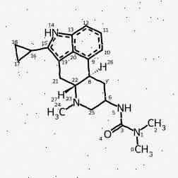 CN(C)C(=O)NC1C[C@@H]2c3cccc4[nH]c(C5CC5)c(c34)C[C@H]2N(C)C1